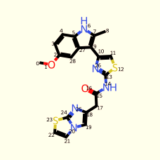 COc1ccc2[nH]c(C)c(-c3csc(NC(=O)Cc4cn5ccsc5n4)n3)c2c1